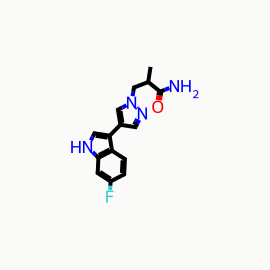 CC(Cn1cc(-c2c[nH]c3cc(F)ccc23)cn1)C(N)=O